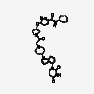 O=C1CCN(c2cccc3c2ccn3C2CCN(CC(=O)N3CCC(Oc4ccc(C(=O)NC5CCCCC5)nn4)C3)CC2)C(=O)N1